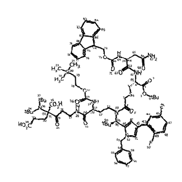 CC(C)(C)OC(=O)[C@H](CSCC(=O)N(CC[C@H](NC(=O)OCC[Si](C)(C)C)C(=O)NCCC(=O)[C@@](CCC(=O)O)(C(=O)O)N(C(C)(C)C)C(C)(C)C)[C@@H](c1cc(-c2cc(F)ccc2F)cn1Cc1ccccc1)C(C)(C)C)NC(=O)[C@H](CC(N)=O)NC(=O)OCC1c2ccccc2-c2ccccc21